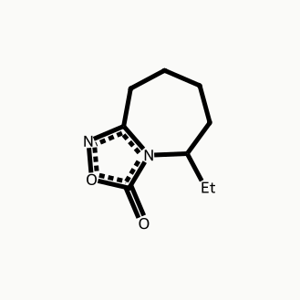 CCC1CCCCc2noc(=O)n21